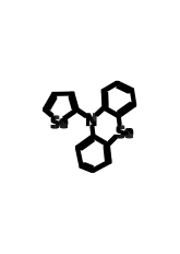 c1c[se]c(N2c3ccccc3[Se]c3ccccc32)c1